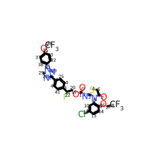 O=C(/N=C1\SCC(=O)N1c1cc(Cl)ccc1OCC(F)(F)F)OCC(F)c1ccc(-c2ncn(-c3ccc(OC(F)(F)F)cc3)n2)cc1